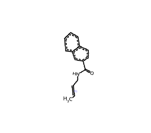 C/C=C/CNC(=O)c1ccc2ccccc2c1